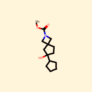 CC(C)(C)OC(=O)N1CC2(CCC(O)(C3CCCC3)C2)C1